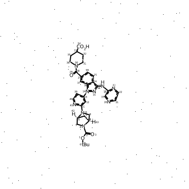 CC(C)(C)OC(=O)N1C[C@@H]2C[C@H]1CN2c1cc(-n2nc(Nc3cnccn3)c3ccc(C(=O)N4CCC(C(=O)O)CC4)cc32)ccn1